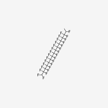 CC(F)C(F)(F)C(F)(F)C(F)(F)C(F)(F)C(F)(F)C(F)(F)C(F)(F)C(F)(F)C(F)(F)C(F)(F)C(F)(F)C(F)(F)C(F)(F)[C](F)F